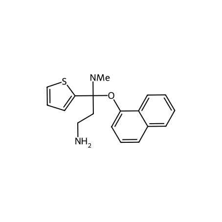 CNC(CCN)(Oc1cccc2ccccc12)c1cccs1